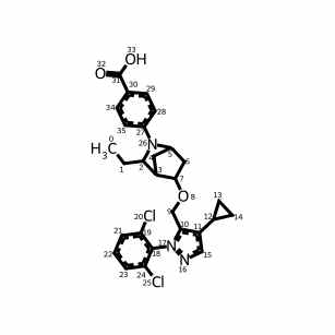 CCC1C2CC(CC2OCc2c(C3CC3)cnn2-c2c(Cl)cccc2Cl)N1c1ccc(C(=O)O)cc1